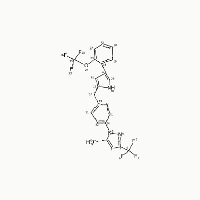 Cc1cc(C(F)(F)F)nn1-c1ccc(Cc2cc(-c3ccccc3OC(F)(F)F)c[nH]2)cc1